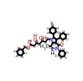 CC(C)c1c(C(=O)Nc2ccccc2)c(-c2ccccc2)c(-c2ccc(F)cc2)n1CC[C@@H](O)C[C@@H](O)CC(=O)OCc1ccccc1